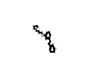 c1ccc(CCc2cccc(OCCCCN3CCCC3)c2)cc1